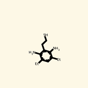 CCc1cc(CC)c(N)c(CCS)c1N